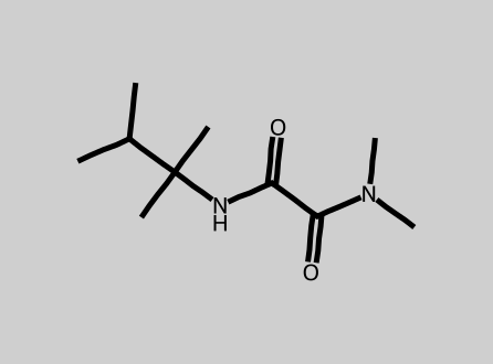 CC(C)C(C)(C)NC(=O)C(=O)N(C)C